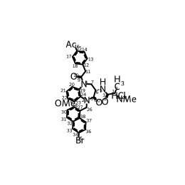 CN[C@@H](C)C(=O)N[C@H]1CN(C(=O)Cc2ccc(C(C)=O)cc2)c2ccccc2N(Cc2c(OC)ccc3cc(Br)ccc23)C1=O.Cl